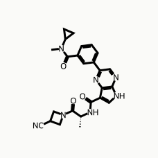 C[C@@H](NC(=O)c1c[nH]c2ncc(-c3cccc(C(=O)N(C)C4CC4)c3)nc12)C(=O)N1CC(C#N)C1